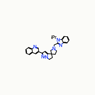 CC(C)n1c(CN2CCC3(CCn4nc(-c5cnc6ccccc6c5)cc43)C2)nc2ccccc21